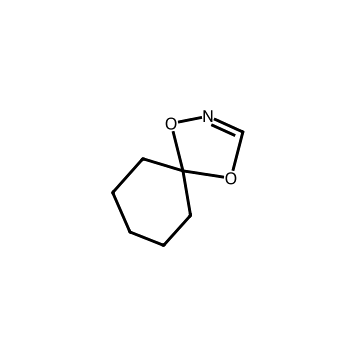 C1=NOC2(CCCCC2)O1